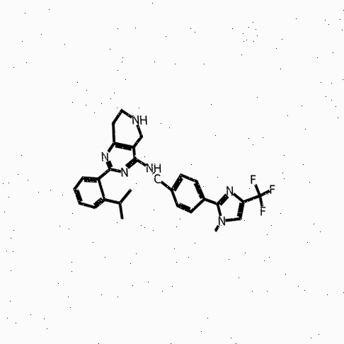 CC(C)c1ccccc1-c1nc2c(c(NCc3ccc(-c4nc(C(F)(F)F)cn4C)cc3)n1)CNCC2